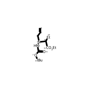 C=CCN(NC(=O)OC(C)(C)C)C(CC)C(=O)OCC